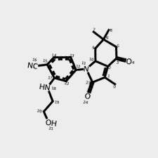 CC1=C2C(=O)CC(C)(C)CC2N(c2ccc(C#N)c(NCCO)c2)C1=O